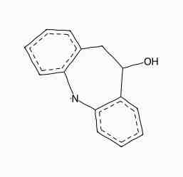 OC1Cc2ccccc2[N]c2ccccc21